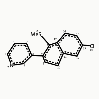 CSc1c(-c2cccnc2)ccc2cc(Cl)ccc12